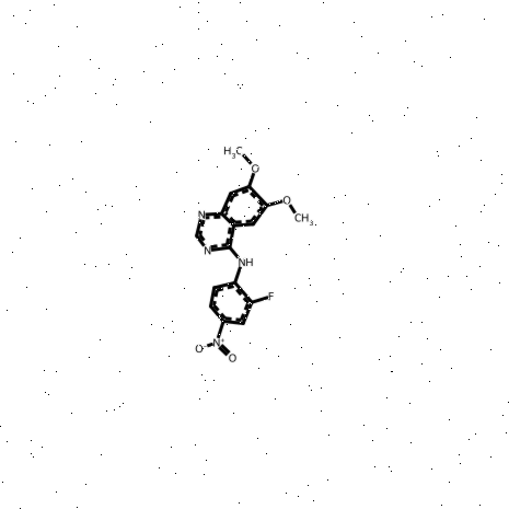 COc1cc2ncnc(Nc3ccc([N+](=O)[O-])cc3F)c2cc1OC